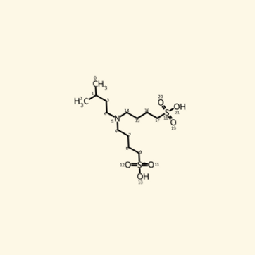 CC(C)CCN(CCCCS(=O)(=O)O)CCCCS(=O)(=O)O